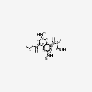 CCCNC1=CN(NC)Cc2c(N[C@@H](C)CO)nc(NC)nc21